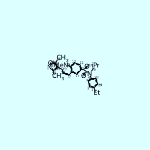 CCc1ccc(N(CC(C)C)S(=O)(=O)c2ccc(NC)c(/C=C\Cc3c(C)noc3C)c2)cc1